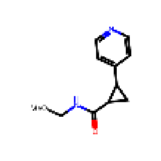 COCNC(=O)C1CC1c1ccncc1